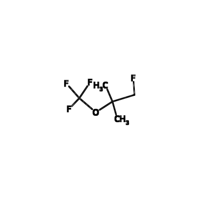 CC(C)(CF)OC(F)(F)F